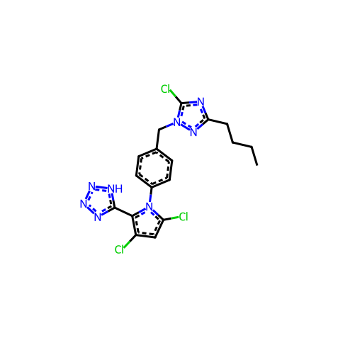 CCCCc1nc(Cl)n(Cc2ccc(-n3c(Cl)cc(Cl)c3-c3nnn[nH]3)cc2)n1